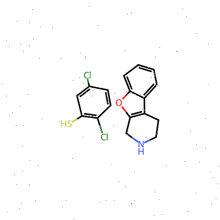 Sc1cc(Cl)ccc1Cl.c1ccc2c3c(oc2c1)CNCC3